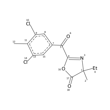 CCC1(C)N=C(C(=O)c2cc(Cl)c(C)c(Cl)c2)OC1=O